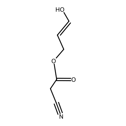 N#CCC(=O)OCC=CO